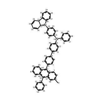 Cc1ccc2c(-c3ccc(-c4ccc(N(c5ccccc5)c5ccc(N6c7ccccc7C7C=CC=CC76)cc5)cc4)cc3)c3ccccc3c(-c3ccccc3)c2c1